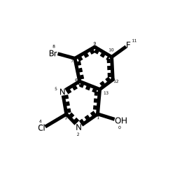 Oc1nc(Cl)nc2c(Br)cc(F)cc12